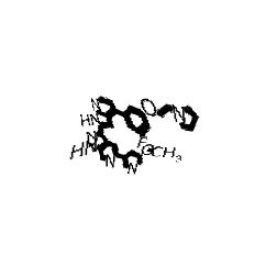 COc1cncc(-c2cc3c(-c4cc5c(-c6cc(F)cc(OCCN7CCCC7)c6)ccnc5[nH]4)n[nH]c3cn2)c1